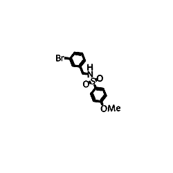 COc1ccc(S(=O)(=O)NCc2cccc(Br)c2)cc1